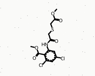 COC(=O)CSCC(=O)Nc1cc(Cl)cc(Cl)c1C(=O)OC